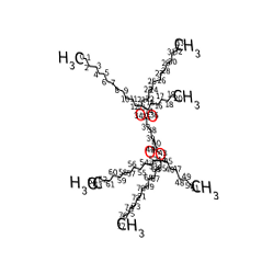 CCCCCCCCCCCCCC(CCCCCCC)(CCCCCCCCCCCCC)OC(=O)CCCCC(=O)OC(CCCCCCC)(CCCCCCCCCCCCC)CCCCCCCCCCCCC